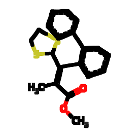 COC(=O)C(C)=C(c1ccccc1-c1ccccc1)C1SCCS1